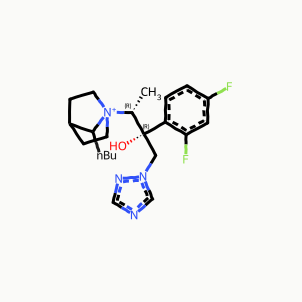 CCCCC1C2CC[N+]1([C@H](C)[C@](O)(Cn1cncn1)c1ccc(F)cc1F)CC2